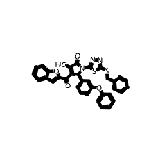 O=C(C1=C(O)C(=O)N(c2nnc(SCc3ccccc3)s2)C1c1cccc(Oc2ccccc2)c1)c1cc2ccccc2o1